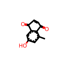 Cc1cc(O)cc2c1C(=O)C=CC2=O